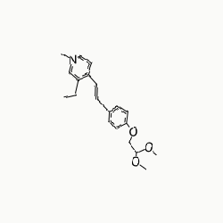 CCc1c[n+](C)ccc1/C=C/c1ccc(OCC(OC)OC)cc1